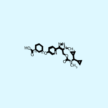 CN(C(=O)OCc1c(-c2ccc(O[C@H]3CCC[C@H](C(=O)O)C3)cn2)nnn1C)C(C1CC1)C1CC1